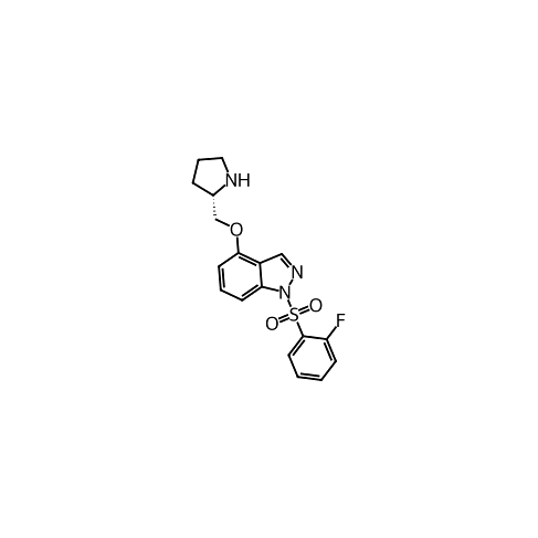 O=S(=O)(c1ccccc1F)n1ncc2c(OC[C@@H]3CCCN3)cccc21